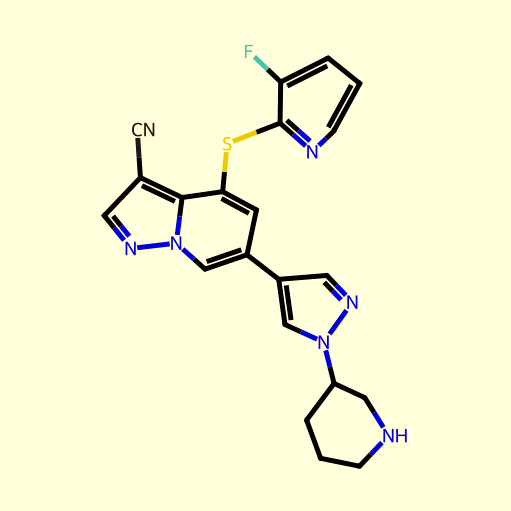 N#Cc1cnn2cc(-c3cnn(C4CCCNC4)c3)cc(Sc3ncccc3F)c12